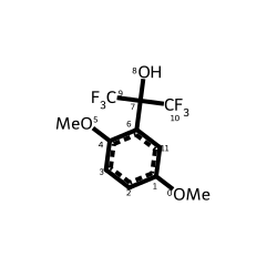 COc1ccc(OC)c(C(O)(C(F)(F)F)C(F)(F)F)c1